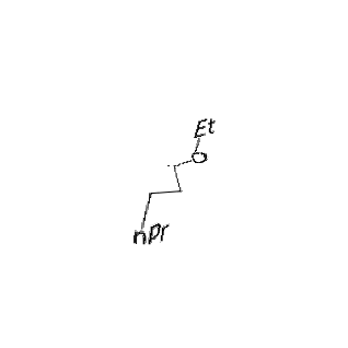 [CH2]CCCC[CH]OCC